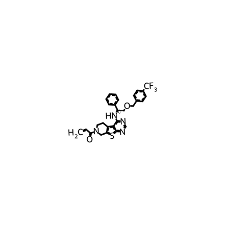 C=CC(=O)N1CCc2c(sc3ncnc(N[C@H](COCc4ccc(C(F)(F)F)cc4)c4ccccc4)c23)C1